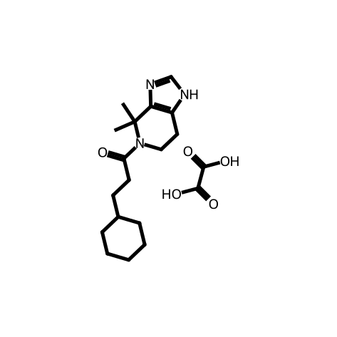 CC1(C)c2nc[nH]c2CCN1C(=O)CCC1CCCCC1.O=C(O)C(=O)O